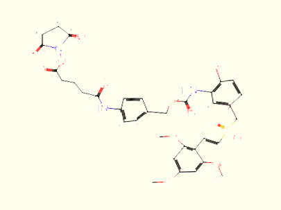 COc1cc(OC)c(/C=C/S(=O)(=O)Cc2ccc(OC)c(NC(=O)OCc3ccc(NC(=O)CCCC(=O)ON4C(=O)CCC4=O)cc3)c2)c(OC)c1